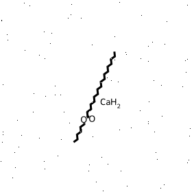 CCCCCCCCCCCCCCCCCC(=O)OCCCCCC.[CaH2]